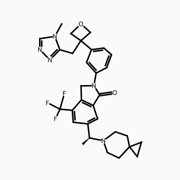 C[C@@H](c1cc2c(c(C(F)(F)F)c1)CN(c1cccc(C3(Cc4nncn4C)COC3)c1)C2=O)N1CCC2(CC1)CC2